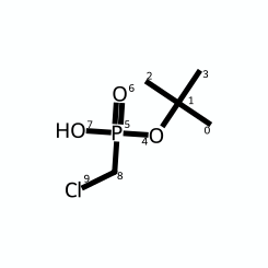 CC(C)(C)OP(=O)(O)CCl